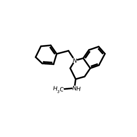 CNC1Cc2ccccc2N(CC2=CCCC=C2)C1